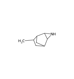 CC1CC2CC1C1NC21